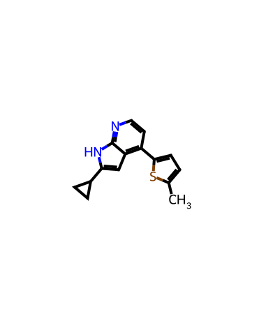 Cc1ccc(-c2ccnc3[nH]c(C4CC4)cc23)s1